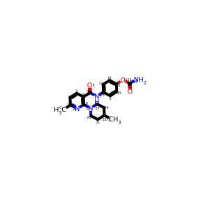 Cc1ccc(C(=O)Nc2ccc(OC(N)=O)cc2)c(N2CCC(C)CC2)n1